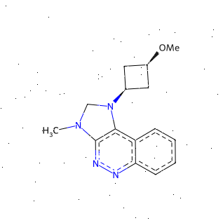 CO[C@H]1C[C@@H](N2CN(C)c3nnc4ccccc4c32)C1